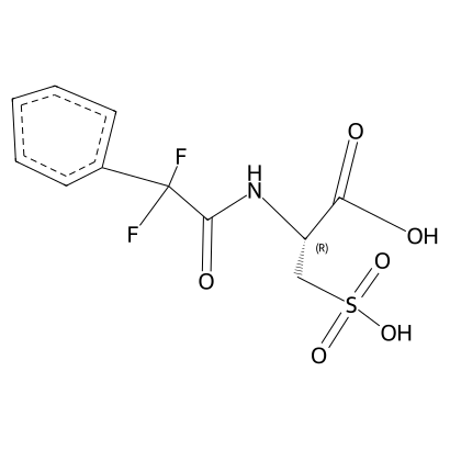 O=C(O)[C@H](CS(=O)(=O)O)NC(=O)C(F)(F)c1ccccc1